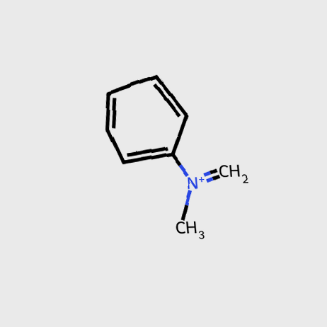 C=[N+](C)c1ccccc1